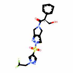 O=C([C@H](CO)c1ccccc1)N1Cc2cn(S(=O)(=O)c3cnn(CC(F)F)c3)nc2C1